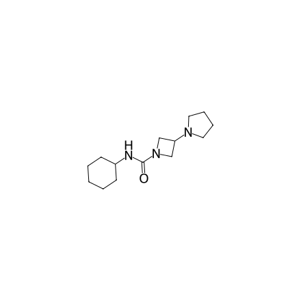 O=C(NC1CCCCC1)N1CC(N2CCCC2)C1